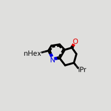 CCCCCCc1ccc2c(n1)CC(C(C)C)CC2=O